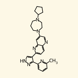 Cc1cccc(-c2n[nH]cc2-c2ccc3ncc(N4CCCN(C5CCCC5)CC4)cc3n2)n1